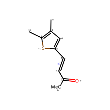 COC(=O)/C=C/c1cc(C)c(C)s1